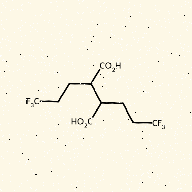 O=C(O)C(CCC(F)(F)F)C(CCC(F)(F)F)C(=O)O